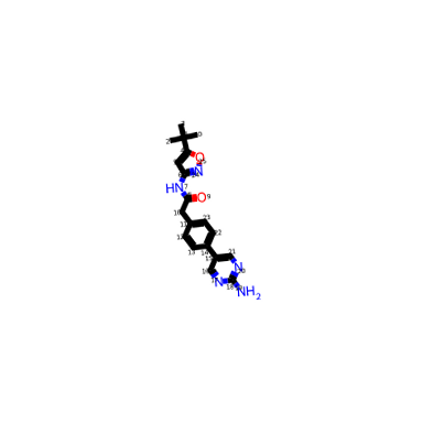 CC(C)(C)c1cc(NC(=O)Cc2ccc(-c3cnc(N)nc3)cc2)no1